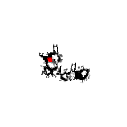 c1cc(-c2nc(N3CCNCC3)c3c(C4CC4)cncc3n2)cc(NC2CC3CCC2C3)n1